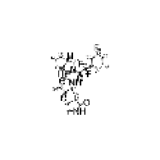 O=C1NCC[C@H]1C[C@H](NC(=O)[C@@H]1[C@@H]2CCC[C@@H]2CN1C(=O)C(F)(F)c1cccc(F)c1)C(=O)CF